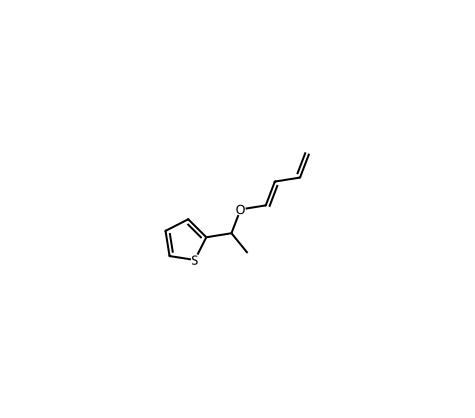 C=CC=COC(C)c1cccs1